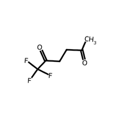 CC(=O)CCC(=O)C(F)(F)F